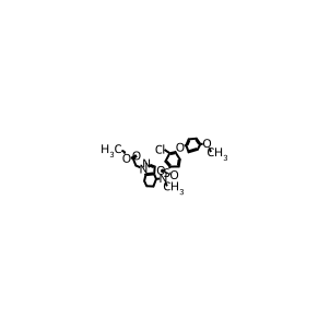 CCOC(=O)Cn1ncc2c1CCCC2N(C)S(=O)(=O)c1ccc(Oc2ccc(OC)cc2)c(Cl)c1